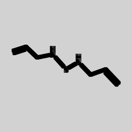 C=CCNSNCC=C